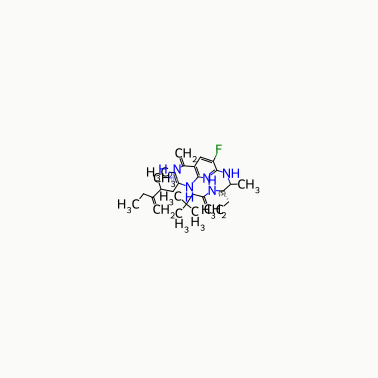 C=C(CC(C)(C)C)N[C@@H](CC)C(C)Nc1nc(N/C(=C/C)CC(C)C(=C)CC)c(C(=C)N)cc1F